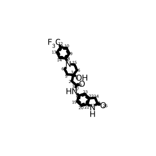 O=C(CC1(O)CCN(c2ccc(C(F)(F)F)cc2)CC1)Nc1ccc2c(c1)CC(=O)N2